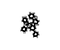 c1ccc(-c2cc3c4c(c2)-n2c5ccccc5n5c6ccccc6c(c25)B4c2c-3ccc3oc4ccccc4c23)cc1